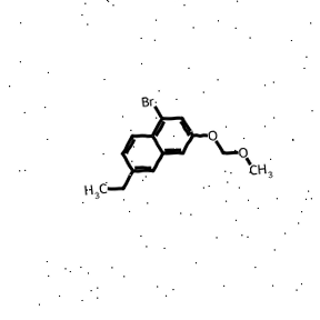 CCc1ccc2c(Br)cc(OCOC)cc2c1